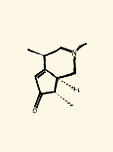 C[C@@H]1C(=O)C=C2[C@H]1CN(C)C[C@@H]2C